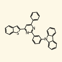 c1ccc(-c2cc(-c3cc4ccccc4s3)nc(-c3cccc(-n4c5ccccc5c5ccccc54)c3)n2)cc1